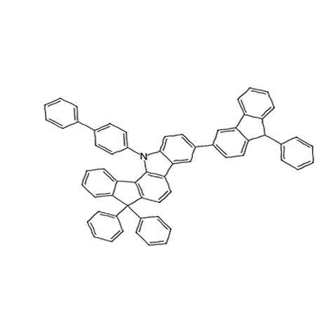 c1ccc(-c2ccc(-n3c4ccc(-c5ccc6c(c5)-c5ccccc5C6c5ccccc5)cc4c4ccc5c(c43)-c3ccccc3C5(c3ccccc3)c3ccccc3)cc2)cc1